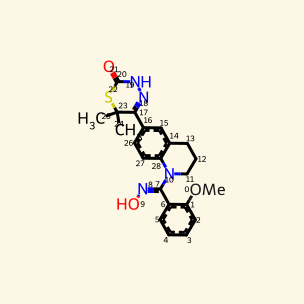 COc1ccccc1C(=NO)N1CCCc2cc(C3=NNC(=O)SC3(C)C)ccc21